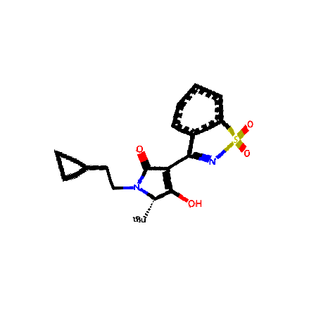 CC(C)(C)[C@H]1C(O)=C(C2=NS(=O)(=O)c3ccccc32)C(=O)N1CCC1CC1